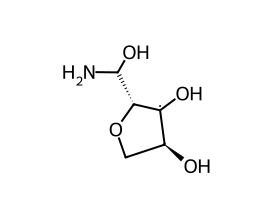 NC(O)[C@H]1OC[C@H](O)[C]1O